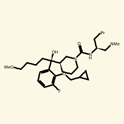 CNC[C@H](CC(C)C)NC(=O)N1CCC[C@@H]([C@@](O)(CCCCOC)c2cccc(F)c2OCC2CC2)C1